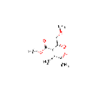 COCC(=O)C(C(=O)OC)C(C)C(C)=O